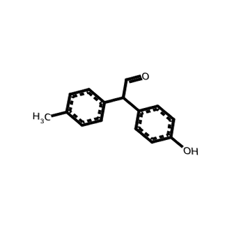 Cc1ccc(C(C=O)c2ccc(O)cc2)cc1